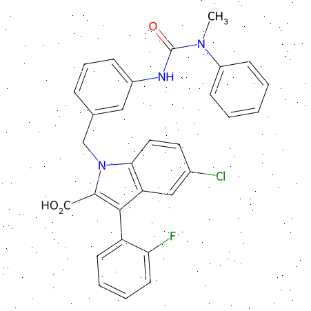 CN(C(=O)Nc1cccc(Cn2c(C(=O)O)c(-c3ccccc3F)c3cc(Cl)ccc32)c1)c1ccccc1